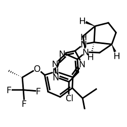 CC(C)c1ccc(O[C@@H](C)C(F)(F)F)n2nc(N[C@@H]3[C@@H]4CC[C@H]3CN(c3cnnc(Cl)c3)C4)nc12